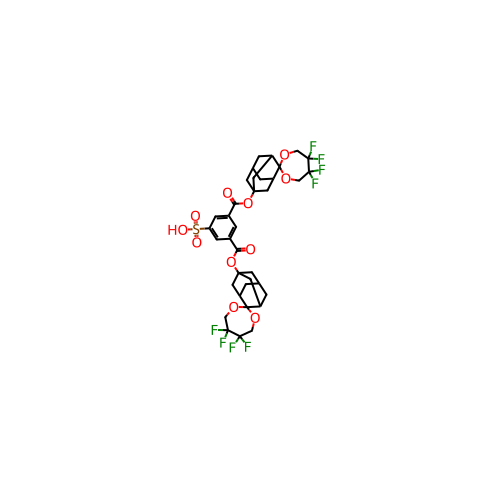 O=C(OC12CC3CC(C1)C1(OCC(F)(F)C(F)(F)CO1)C(C3)C2)c1cc(C(=O)OC23CC4CC(C2)C2(OCC(F)(F)C(F)(F)CO2)C(C4)C3)cc(S(=O)(=O)O)c1